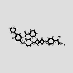 CC(C)c1ccccc1[C@@H]1CN(Cc2ccc(C3CCOC3)cc2)CCN1C1CC2(C1)CN(c1ccc(C(N)=O)cc1)C2